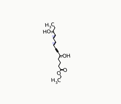 CCOC(=O)CCC[C@H](O)C#C/C=C/C=C/[C@H](O)CC